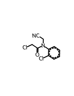 N#CCN(C(=O)CCl)c1ccccc1Cl